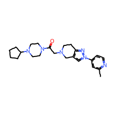 Cc1cc(-n2cc3c(n2)CCN(CC(=O)N2CCN(C4CCCC4)CC2)C3)ccn1